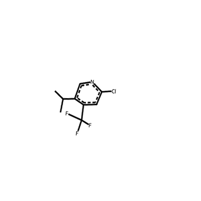 CC(C)c1cnc(Cl)cc1C(F)(F)F